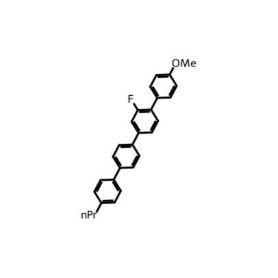 CCCc1ccc(-c2ccc(-c3ccc(-c4ccc(OC)cc4)c(F)c3)cc2)cc1